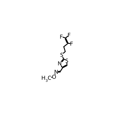 CON=Cc1csc(SCCC(F)=C(F)F)n1